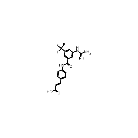 N=C(N)Nc1cc(C(=O)Nc2ccc(C=CC(=O)O)cc2)cc(C(F)(F)F)c1